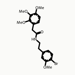 COc1cc(CCNC(=O)Cc2ccc(OC)c(OC)c2OC)ccc1Br